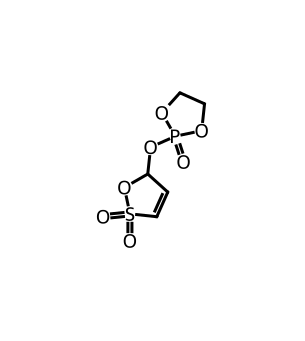 O=P1(OC2C=CS(=O)(=O)O2)OCCO1